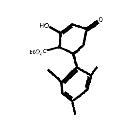 CCOC(=O)C1C(O)=CC(=O)CC1c1c(C)cc(C)cc1C